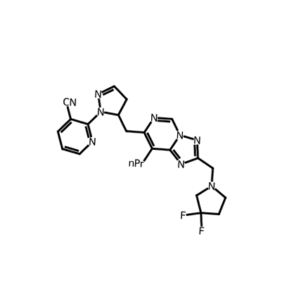 CCCc1c(CC2CC=NN2c2ncccc2C#N)ncn2nc(CN3CCC(F)(F)C3)nc12